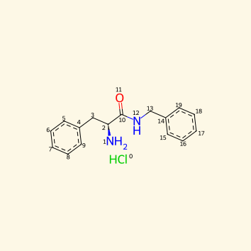 Cl.N[C@@H](Cc1ccccc1)C(=O)NCc1ccccc1